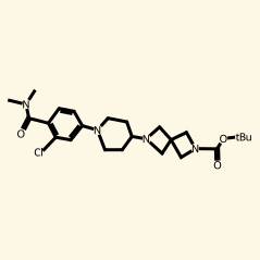 CN(C)C(=O)c1ccc(N2CCC(N3CC4(CN(C(=O)OC(C)(C)C)C4)C3)CC2)cc1Cl